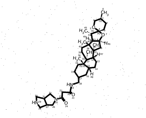 C[C@H]1CC[C@@]2(OC1)O[C@H]1C[C@@]3(C)[C@@H]4CC[C@@H]5CC(CNC(=O)CC(=O)N6CC7CNCC7C6)CC[C@]5(C)[C@@]4(C)CC[C@]3(C)[C@H]1[C@@H]2C